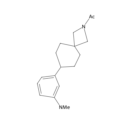 CNc1cccc(C2CCC3(CC2)CN(C(C)=O)C3)c1